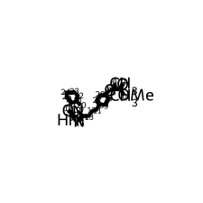 COC(=O)C(C)(C)Oc1ccc(CCCc2n[nH]c(=O)n2Cc2ccccc2)cc1